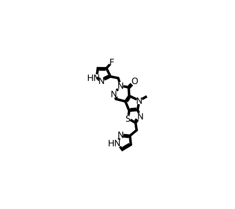 Cn1c2nc(Cc3cc[nH]n3)sc2c2cnn(Cc3n[nH]cc3F)c(=O)c21